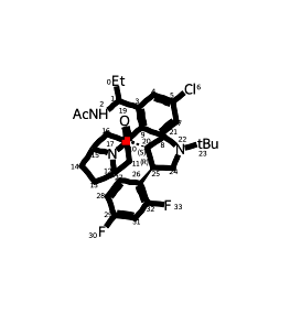 CCC(NC(C)=O)c1cc(Cl)ccc1C1CC2CCC(C1)N2C(=O)[C@@H]1CN(C(C)(C)C)C[C@H]1c1ccc(F)cc1F